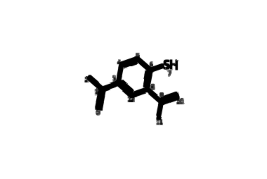 C=C(C)c1ccc(S)c(C(=C)C)c1